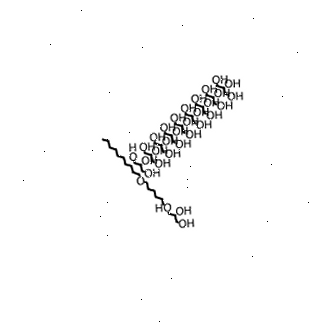 CCCCCCCCCCOCCCCCC.OCC(O)CO.OCC(O)CO.OCC(O)CO.OCC(O)CO.OCC(O)CO.OCC(O)CO.OCC(O)CO.OCC(O)CO.OCC(O)CO.OCC(O)CO